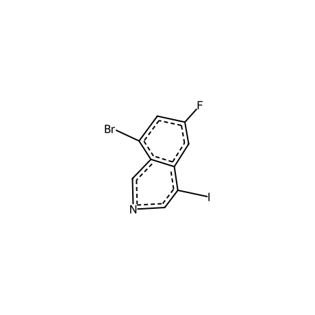 Fc1cc(Br)c2cncc(I)c2c1